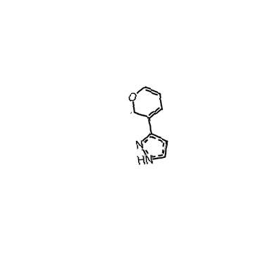 [CH]1OC=CC=C1c1cc[nH]n1